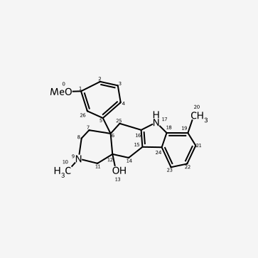 COc1cccc(C23CCN(C)CC2(O)Cc2c([nH]c4c(C)cccc24)C3)c1